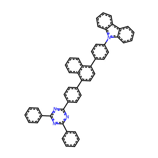 c1ccc(-c2nc(-c3ccccc3)nc(-c3ccc(-c4ccc(-c5ccc(-n6c7ccccc7c7ccccc76)cc5)c5ccccc45)cc3)n2)cc1